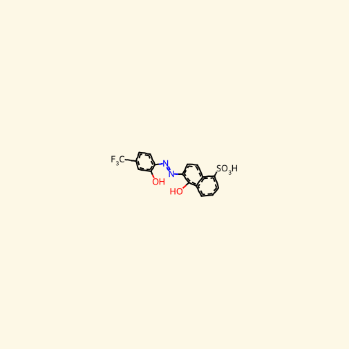 O=S(=O)(O)c1cccc2c(O)c(/N=N/c3ccc(C(F)(F)F)cc3O)ccc12